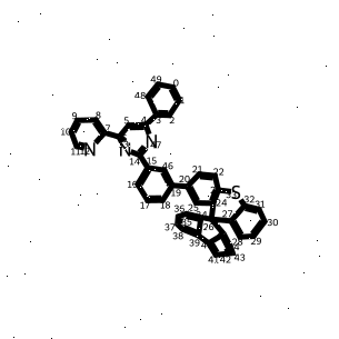 c1ccc(-c2cc(-c3ccccn3)nc(-c3cccc(-c4ccc5c(c4)C4(c6ccccc6S5)c5ccccc5-c5ccccc54)c3)n2)cc1